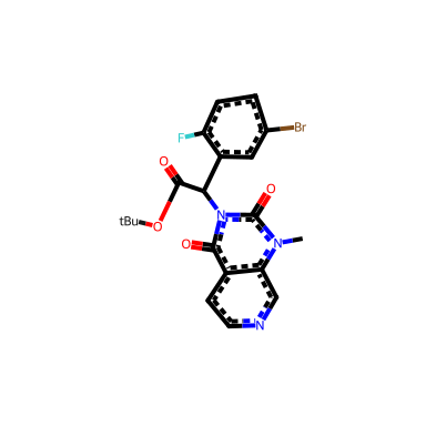 Cn1c(=O)n(C(C(=O)OC(C)(C)C)c2cc(Br)ccc2F)c(=O)c2ccncc21